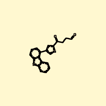 O=CCCC(=O)c1cc(-c2cccc3sc4ccccc4c23)cs1